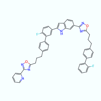 Fc1ccccc1-c1ccc(CCCc2nc(-c3ccc4cc(-c5ccc(F)c(-c6ccc(CCCc7nc(-c8ccccn8)no7)cc6)c5)[nH]c4c3)no2)cc1